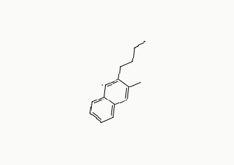 CCCCc1[c]c2ccccc2cc1C